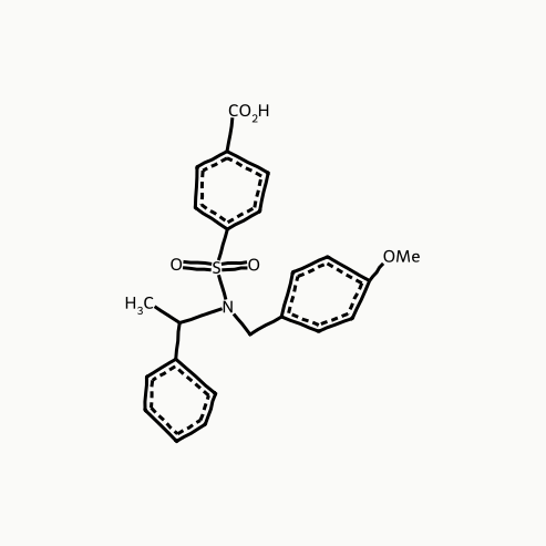 COc1ccc(CN(C(C)c2ccccc2)S(=O)(=O)c2ccc(C(=O)O)cc2)cc1